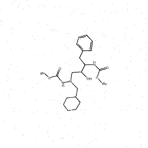 CC(C)(C)OC(=O)NC(Cc1ccccc1)C(O)CN(CC1CCCCC1)NC(=O)OC(C)(C)C